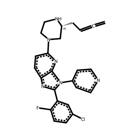 C=C=CC[C@@H]1CN(c2ccc3nc(-c4cc(Cl)ccc4F)n(-c4ccncc4)c3n2)CCN1